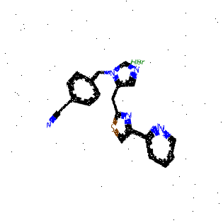 Br.N#Cc1ccc(Cn2cncc2Cc2nc(-c3ccccn3)cs2)cc1